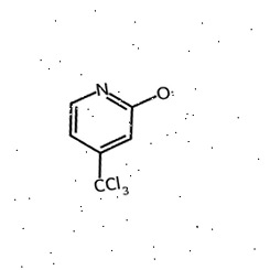 [O]c1cc(C(Cl)(Cl)Cl)ccn1